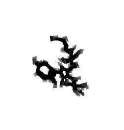 C[Si](C)(C)Oc1c(NS(=O)(=O)CCCBr)oc(-c2cc(F)ccc2F)c1O